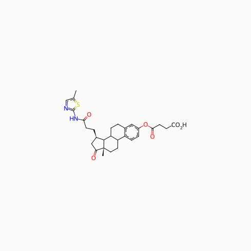 Cc1cnc(NC(=O)CC[C@@H]2CC(=O)[C@@]3(C)CCC4c5ccc(OC(=O)CCC(=O)O)cc5CCC4C23)s1